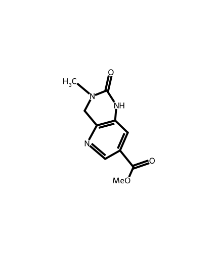 COC(=O)c1cnc2c(c1)NC(=O)N(C)C2